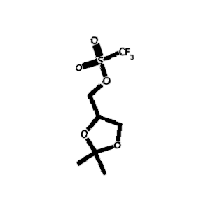 CC1(C)OCC(COS(=O)(=O)C(F)(F)F)O1